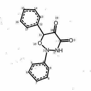 O=C1NN(c2ccccc2)OC(c2ccccc2)C1=O